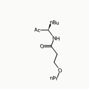 CCCC[C@@H](NC(=O)CCOCCC)C(C)=O